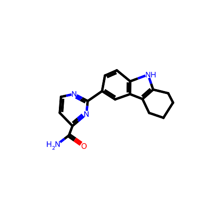 NC(=O)c1ccnc(-c2ccc3[nH]c4c(c3c2)CCCC4)n1